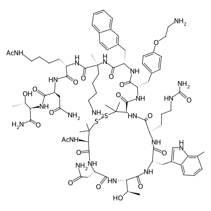 CC(=O)NCCCC[C@H](NC(=O)[C@](C)(CCCCN)NC(=O)[C@H](Cc1ccc2ccccc2c1)NC(=O)[C@H](Cc1ccc(OCCN)cc1)NC(=O)[C@H]1NC(=O)[C@H](CCCNC(N)=O)NC(=O)[C@H](Cc2c[nH]c3c(C)cccc23)NC(=O)[C@H]([C@@H](C)O)NC(=O)[C@H](CC(N)=O)NC(=O)[C@@H](NC(C)=O)C(C)(C)SSC1(C)C)C(=O)N[C@@H](CC(N)=O)C(=O)N[C@@H](C(N)=O)[C@H](C)O